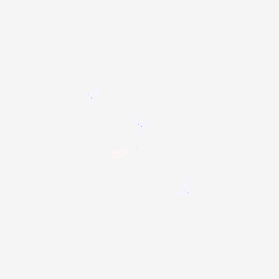 O=C(Nc1cncs1)c1ccncc1